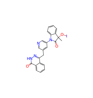 CC1(OI)C(=O)N(c2cncc(Cc3n[nH]c(=O)c4ccccc34)c2)c2ccccc21